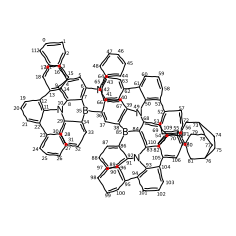 c1ccc(-c2cc3c4c(c2)N(c2c(-c5ccccc5)cccc2-c2ccccc2)c2ccccc2B4c2cc4c(cc2N3c2ccccc2)N(c2c(-c3ccccc3)cccc2-c2ccccc2)c2cc(N3CC5CCC6CC5CC3C6)cc3c2B4c2ccccc2N3c2c(-c3ccccc3)cccc2-c2ccccc2)cc1